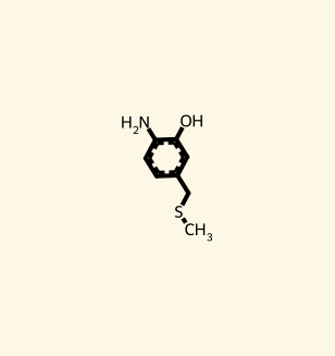 CSCc1ccc(N)c(O)c1